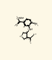 COC(=O)c1ccc(N)c(NC2COCC2C(F)F)c1